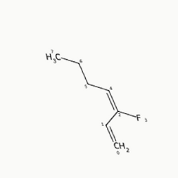 C=C/C(F)=C\CCC